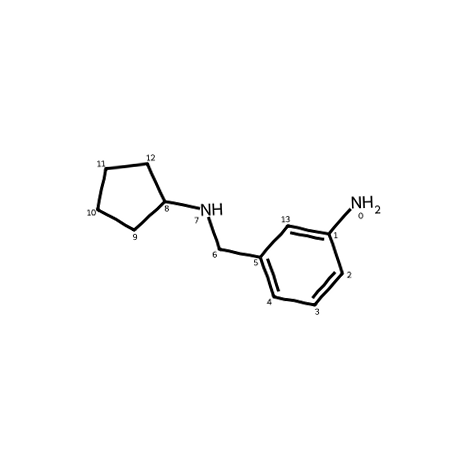 Nc1cccc(CNC2CCCC2)c1